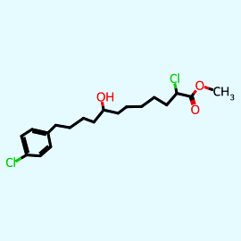 COC(=O)C(Cl)CCCCCC(O)CCCCc1ccc(Cl)cc1